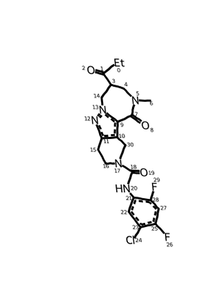 CCC(=O)C1CN(C)C(=O)c2c3c(nn2C1)CCN(C(=O)Nc1cc(Cl)c(F)cc1F)C3